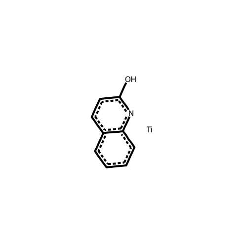 Oc1ccc2ccccc2n1.[Ti]